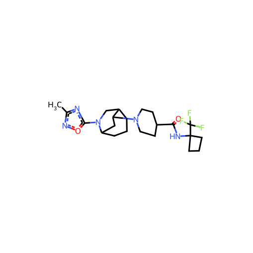 Cc1noc(N2CC3CCCC2CC3N2CCC(C(=O)NC3(C(F)(F)F)CCC3)CC2)n1